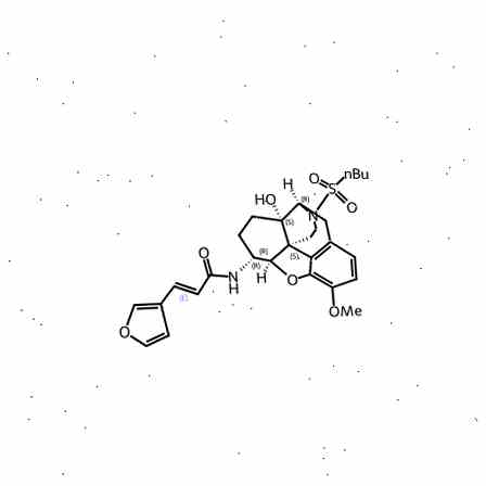 CCCCS(=O)(=O)N1CC[C@]23c4c5ccc(OC)c4O[C@H]2[C@H](NC(=O)/C=C/c2ccoc2)CC[C@@]3(O)[C@H]1C5